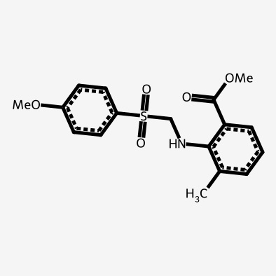 COC(=O)c1cccc(C)c1NCS(=O)(=O)c1ccc(OC)cc1